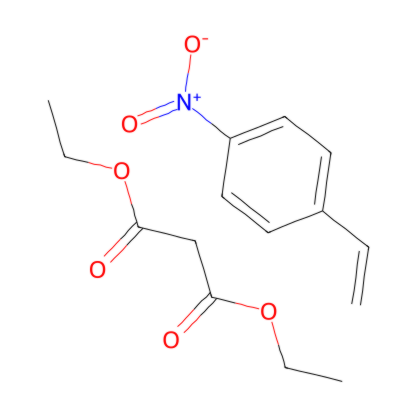 C=Cc1ccc([N+](=O)[O-])cc1.CCOC(=O)CC(=O)OCC